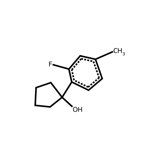 Cc1ccc(C2(O)CCCC2)c(F)c1